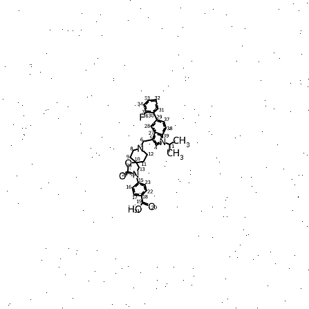 CC(C)n1cc(CN2CCC3(CC2)CN(c2ccc(C(=O)O)cc2)C(=O)O3)c2cc(-c3ccccc3F)ccc21